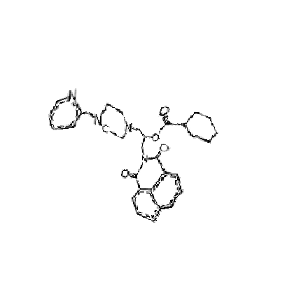 O=C(OC(CN1CCN(c2ccccn2)CC1)CN1C(=O)c2cccc3cccc(c23)C1=O)C1CCCCC1